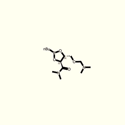 CCCCB1O[C@H](C(=O)N(C)C)[C@@H](COCN(C)C)O1